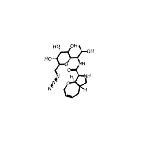 C[C@@H](O)[C@@H](NC(=O)[C@H]1NC[C@@H]2CC=CCO[C@H]21)[C@H]1OC(CN=[N+]=[N-])[C@H](O)[C@H](O)C1O